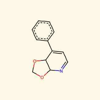 C1=NC2OCOC2C(c2ccccc2)=C1